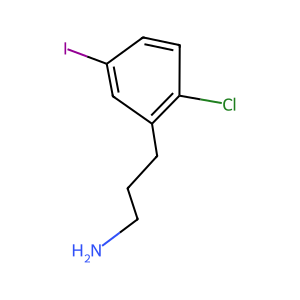 NCCCc1cc(I)ccc1Cl